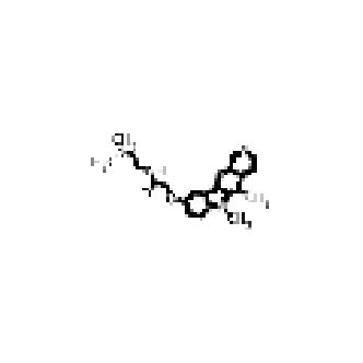 Cc1c2ccncc2cc2c3cc(OCC(=O)NCCN(C)C)ccc3n(C)c12